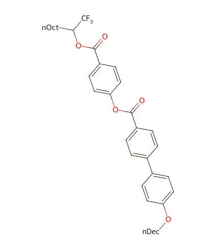 CCCCCCCCCCOc1ccc(-c2ccc(C(=O)Oc3ccc(C(=O)OC(CCCCCCCC)C(F)(F)F)cc3)cc2)cc1